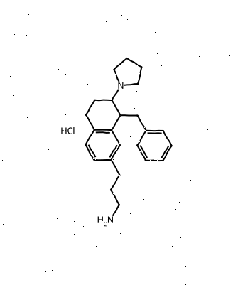 Cl.NCCCc1ccc2c(c1)C(Cc1ccccc1)C(N1CCCC1)CC2